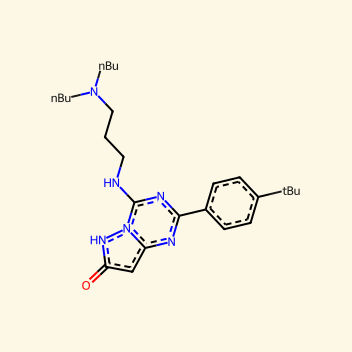 CCCCN(CCCC)CCCNc1nc(-c2ccc(C(C)(C)C)cc2)nc2cc(=O)[nH]n12